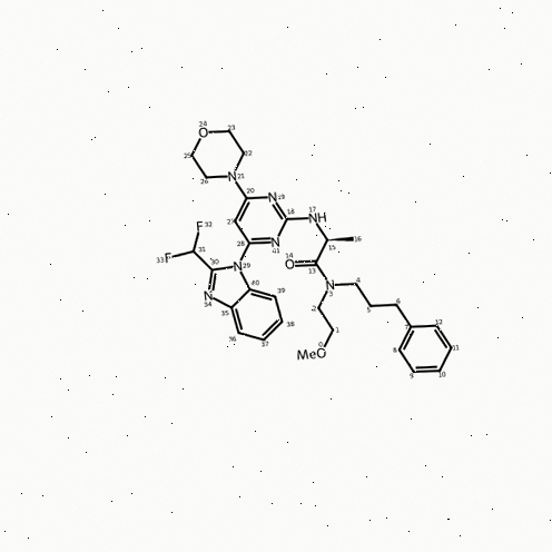 COCCN(CCCc1ccccc1)C(=O)[C@H](C)Nc1nc(N2CCOCC2)cc(-n2c(C(F)F)nc3ccccc32)n1